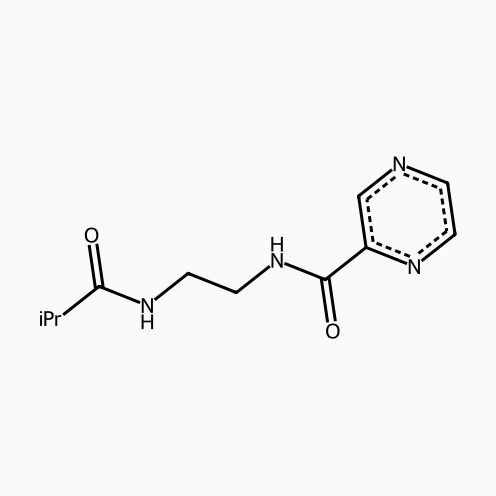 CC(C)C(=O)NCCNC(=O)c1cnccn1